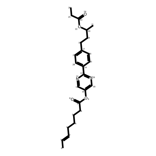 CC=CCCCCC(=O)Oc1cnc(-c2ccc(CCC(C)OC(=O)CC)cc2)nc1